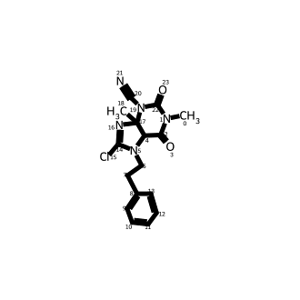 CN1C(=O)C2N(CCc3ccccc3)C(Cl)=NC2(C)N(C#N)C1=O